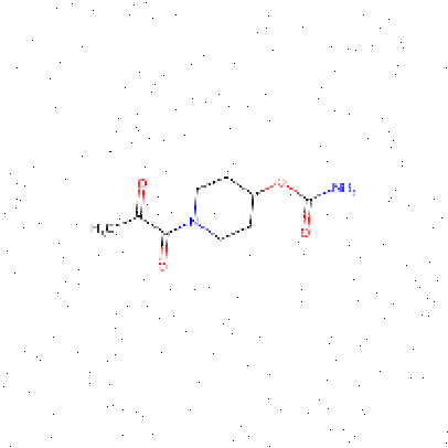 CC(=O)C(=O)N1CCC(OC(N)=O)CC1